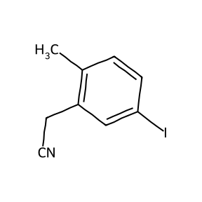 Cc1ccc(I)cc1CC#N